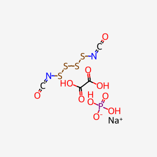 O=C(O)C(=O)O.O=C=NSSSSN=C=O.O=P([O-])(O)O.[Na+]